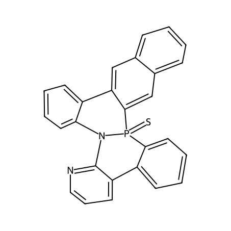 S=P12c3cc4ccccc4cc3-c3ccccc3N1c1ncccc1-c1ccccc12